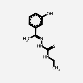 CCNC(=S)NN=C(C)c1cccc(O)c1